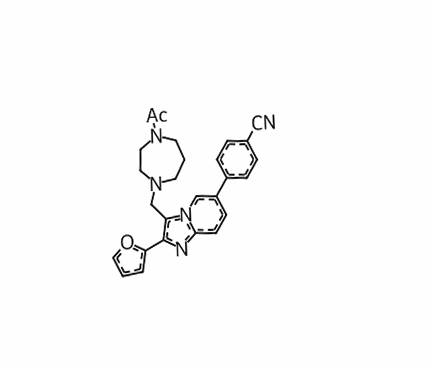 CC(=O)N1CCCN(Cc2c(-c3ccco3)nc3ccc(-c4ccc(C#N)cc4)cn23)CC1